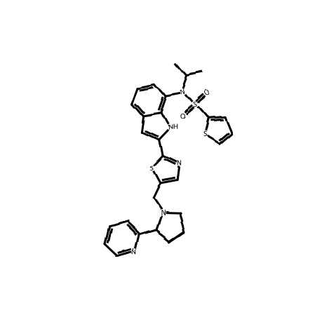 CC(C)N(c1cccc2cc(-c3ncc(CN4CCCC4c4ccccn4)s3)[nH]c12)S(=O)(=O)c1cccs1